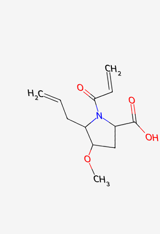 C=CCC1C(OC)CC(C(=O)O)N1C(=O)C=C